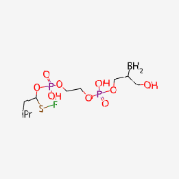 BC(CO)COP(=O)(O)OCCOP(=O)(O)OC(CC(C)C)SF